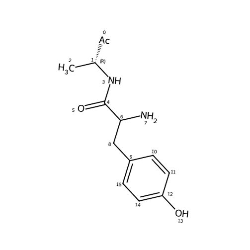 CC(=O)[C@@H](C)NC(=O)C(N)Cc1ccc(O)cc1